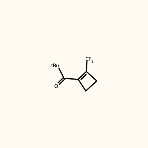 CC(C)(C)C(=O)C1=C(C(F)(F)F)CC1